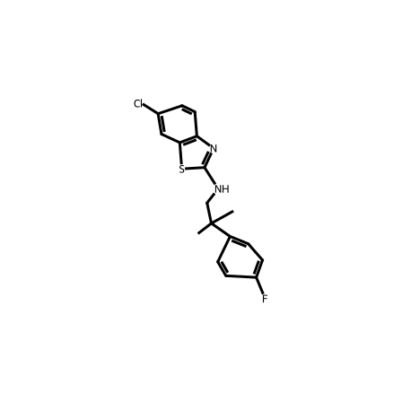 CC(C)(CNc1nc2ccc(Cl)cc2s1)c1ccc(F)cc1